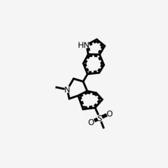 CN1Cc2cc(S(C)(=O)=O)ccc2C(c2ccc3cc[nH]c3c2)C1